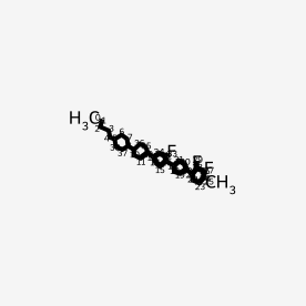 CCCCCC1CCC(C2CC=C(c3ccc(-c4ccc(-c5ccc(C)c(F)c5F)cc4)c(F)c3)CC2)CC1